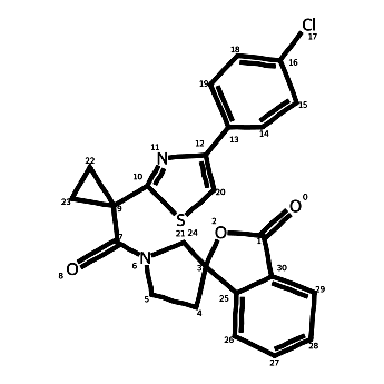 O=C1OC2(CCN(C(=O)C3(c4nc(-c5ccc(Cl)cc5)cs4)CC3)C2)c2ccccc21